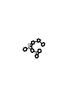 c1ccc(-c2cccc(-c3ccc4oc5c(c4c3)c3cc(-n4c6ccccc6c6ccccc64)ccc3n5-c3ccccc3)c2)cc1